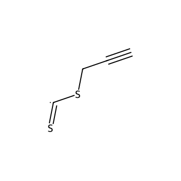 C#CCS[C]=S